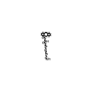 CCCOCCOCCOCCOCCC(=O)NCCC(=O)N1Cc2ccccc2C#Cc2ccccc21